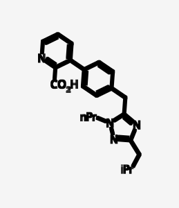 CCCn1nc(CC(C)C)nc1Cc1ccc(-c2cccnc2C(=O)O)cc1